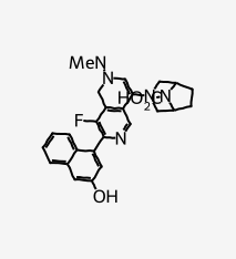 CNN1C=C(N2CC3CCC(C2)N3C(=O)O)c2cnc(-c3cc(O)cc4ccccc34)c(F)c2C1